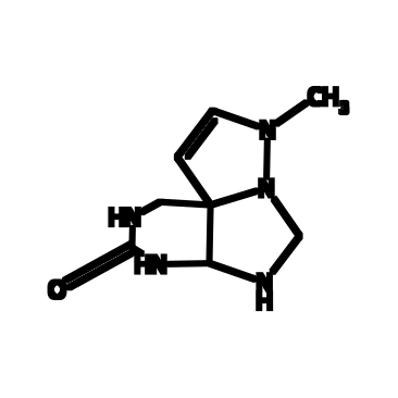 CN1C=CC23CNC(=O)NC2NCN13